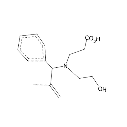 C=C(C)C(c1ccccc1)N(CCO)CCC(=O)O